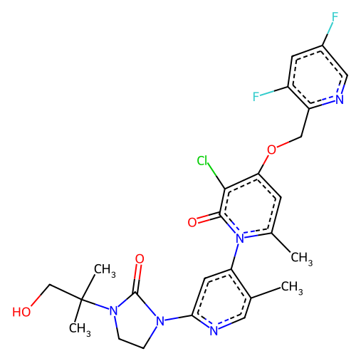 Cc1cnc(N2CCN(C(C)(C)CO)C2=O)cc1-n1c(C)cc(OCc2ncc(F)cc2F)c(Cl)c1=O